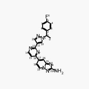 CC(c1ccc(F)cc1)n1cc(-c2nccc(-c3ccn4nc(N)nc4c3)n2)cn1